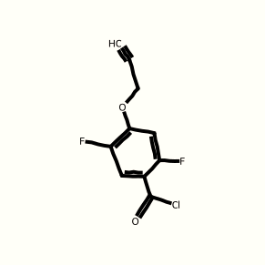 C#CCOc1cc(F)c(C(=O)Cl)cc1F